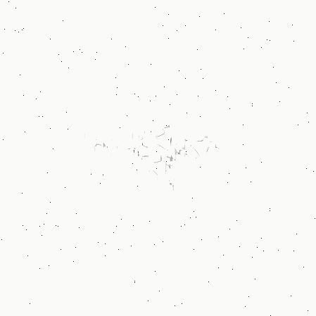 COc1ccc(-c2nn(C3CC4(C3)CN(C(=O)O)C4)c(C)c2-c2c(Cl)c(C)cc3c2cnn3S(=O)(=O)c2ccc(C)cc2)cn1